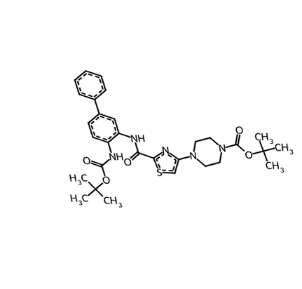 CC(C)(C)OC(=O)Nc1ccc(-c2ccccc2)cc1NC(=O)c1nc(N2CCN(C(=O)OC(C)(C)C)CC2)cs1